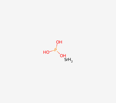 OP(O)O.[SrH2]